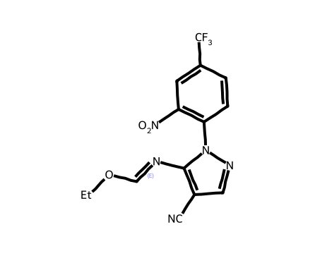 CCO/C=N/c1c(C#N)cnn1-c1ccc(C(F)(F)F)cc1[N+](=O)[O-]